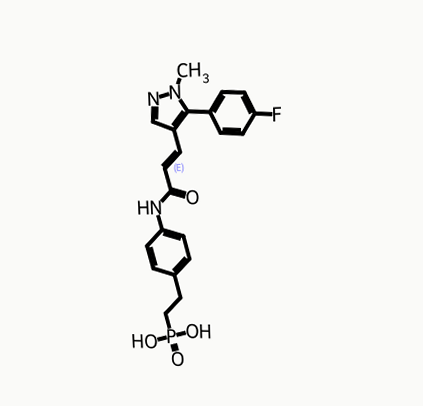 Cn1ncc(/C=C/C(=O)Nc2ccc(CCP(=O)(O)O)cc2)c1-c1ccc(F)cc1